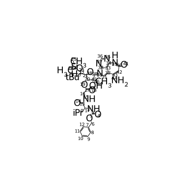 CC(C)C(NC(=O)OCc1ccccc1)C(=O)NCC(=O)OC1C(C(O[SiH](C)C)C(C)(C)C)OC(n2cc3c4c(ncnc42)NC(=O)C=C3N)C1(C)O